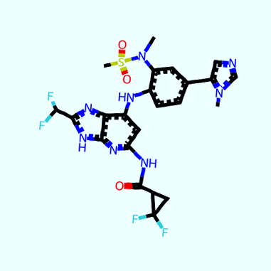 CN(c1cc(-c2cncn2C)ccc1Nc1cc(NC(=O)C2CC2(F)F)nc2[nH]c(C(F)F)nc12)S(C)(=O)=O